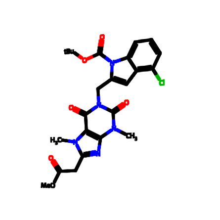 COC(=O)Cc1nc2c(c(=O)n(Cc3cc4c(Cl)cccc4n3C(=O)OC(C)(C)C)c(=O)n2C)n1C